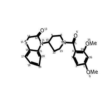 COc1ccc(C(=O)N2CCC(N3C(=O)CSc4ccccc43)CC2)c(OC)c1